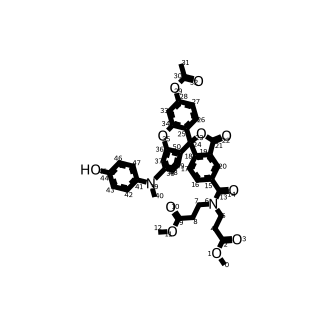 COC(=O)CCN(CCC(=O)OC)C(=O)c1ccc2c(c1)C(=O)OC21c2ccc(OC(C)=O)cc2Oc2cc(N(C)c3ccc(O)cc3)ccc21